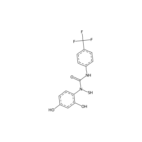 O=C(Nc1ccc(C(F)(F)F)cc1)N(S)c1ccc(O)cc1O